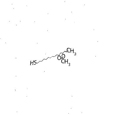 CCCC(CCCCCCCCCCCCS)OC(C)=O